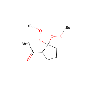 COC(=O)C1CCCC1(OOC(C)(C)C)OOC(C)(C)C